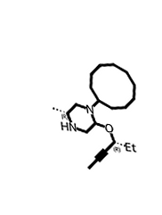 CC#C[C@@H](CC)OC1CN[C@H](C)CN1C1CCCCCCCCC1